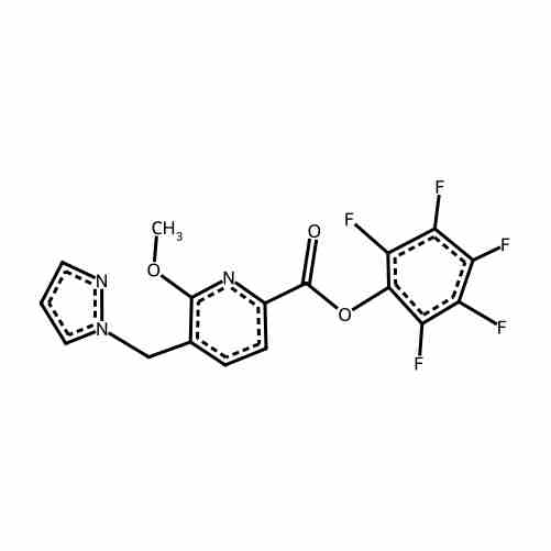 COc1nc(C(=O)Oc2c(F)c(F)c(F)c(F)c2F)ccc1Cn1cccn1